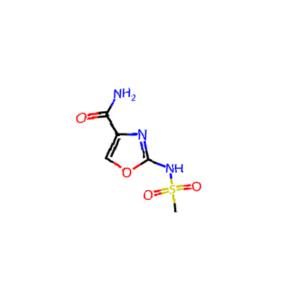 CS(=O)(=O)Nc1nc(C(N)=O)co1